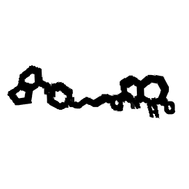 O=C1CCCc2ccc(OCCCCN3CCN(c4cccc5c4CCC5)CC3)nc2N1